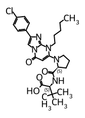 CCCCCn1c(N2CCC[C@H]2C(=O)N[C@H](C(=O)O)C(C)(C)C)cc(=O)n2cc(-c3ccc(Cl)cc3)nc12